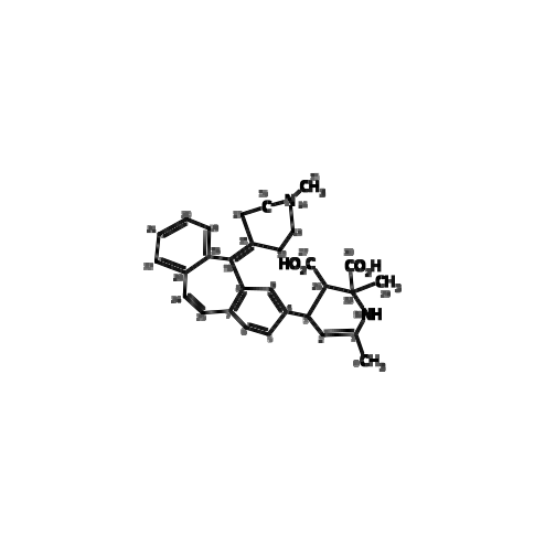 CC1=CC(c2ccc3c(c2)C(=C2CCN(C)CC2)c2ccccc2C=C3)C(C(=O)O)C(C)(C(=O)O)N1